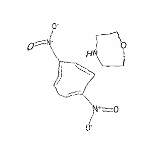 C1COCCN1.O=[N+]([O-])c1ccc([N+](=O)[O-])cc1